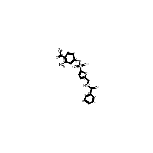 O=C(NCc1ccc(S(=O)(=O)Nc2ccc(C(=O)O)c(O)c2)s1)c1ccccc1